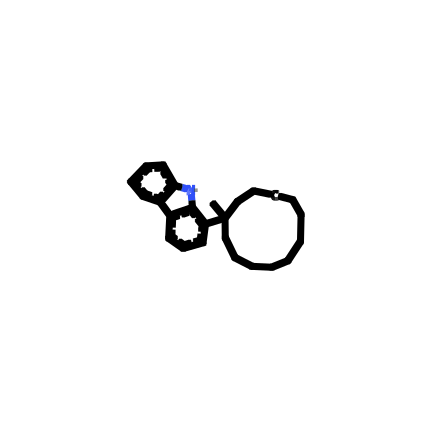 CC1(c2cccc3c2[N]c2ccccc2-3)CCCCCCCCCCC1